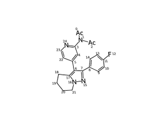 CC(=O)N(C(C)=O)c1cc(-c2c(-c3ccc(F)cc3)nn3c2CCCC3)ccn1